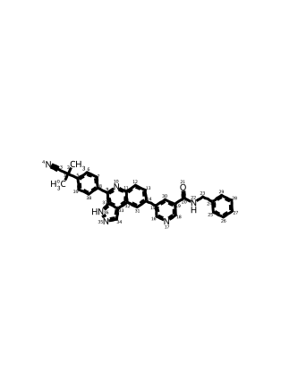 CC(C)(C#N)c1ccc(-c2nc3ccc(-c4cncc(C(=O)NCc5ccccc5)c4)cc3c3cn[nH]c23)cc1